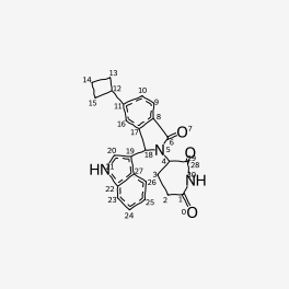 O=C1CCC(N2C(=O)c3ccc(C4CCC4)cc3C2c2c[nH]c3ccccc23)C(=O)N1